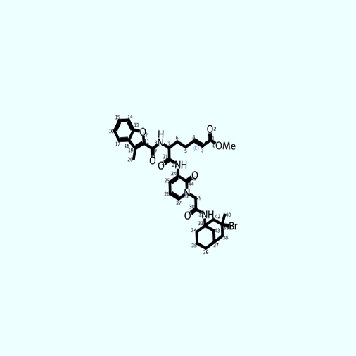 COC(=O)/C=C/CCC(NC(=O)c1oc2ccccc2c1C)C(=O)Nc1cccn(CC(=O)NC23CCCC(CC(C)(Br)C2)C3)c1=O